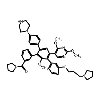 COc1ncc(-c2[c]c(-c3ccc(N4CCNCC4)cc3)c(-c3cccc(C(=O)N4CCCC4)c3)c(OC)c2-c2cccc(OCCCN3CCCC3)c2)c(OC)n1